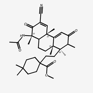 COC(=O)C1(CC[C@]2(C)C(C)C(=O)C=C3[C@@]4(C)C=C(C#N)C(=O)[C@@](C)(NC(C)=O)C4CC[C@]32C)CCC(C)(C)CC1